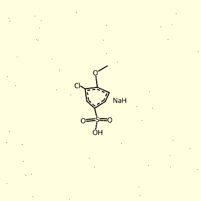 COc1ccc(S(=O)(=O)O)cc1Cl.[NaH]